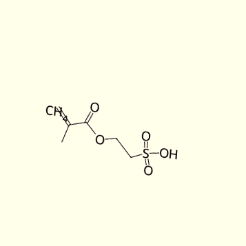 C.C=C(C)C(=O)OCCS(=O)(=O)O